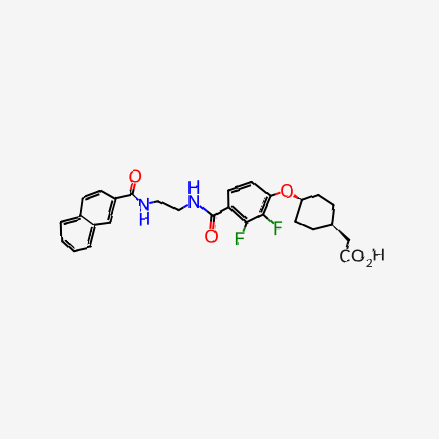 O=C(O)C[C@H]1CC[C@@H](Oc2ccc(C(=O)NCCNC(=O)c3ccc4ccccc4c3)c(F)c2F)CC1